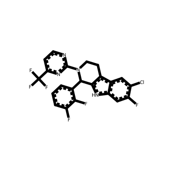 Fc1cc2[nH]c3c(c2cc1Cl)CCN(c1nccc(C(F)(F)F)n1)C3c1cccc(F)c1F